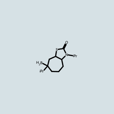 BC1(C(C)C)CCCC2C(C1)SC(=O)N2C(C)C